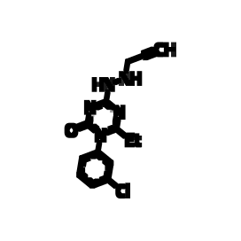 C#CCNNc1nc(CC)n(-c2cccc(Cl)c2)c(=O)n1